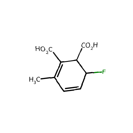 CC1=C(C(=O)O)C(C(=O)O)C(F)C=C1